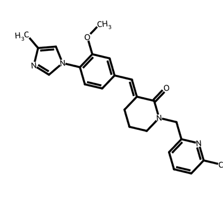 COc1cc(/C=C2\CCCN(Cc3cccc(Cl)n3)C2=O)ccc1-n1cnc(C)c1